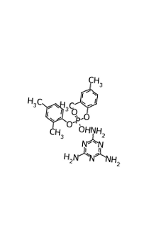 Cc1ccc(OP(=O)(O)Oc2ccc(C)cc2C)c(C)c1.Nc1nc(N)nc(N)n1